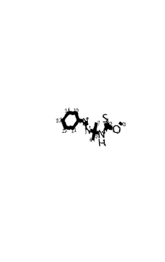 COC(=S)NC(C)(C)N=NC1CCCCC1